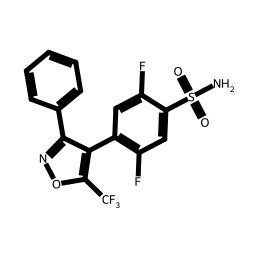 NS(=O)(=O)c1cc(F)c(-c2c(-c3ccccc3)noc2C(F)(F)F)cc1F